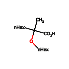 CCCCCCOC(C)(CCCCCC)C(=O)O